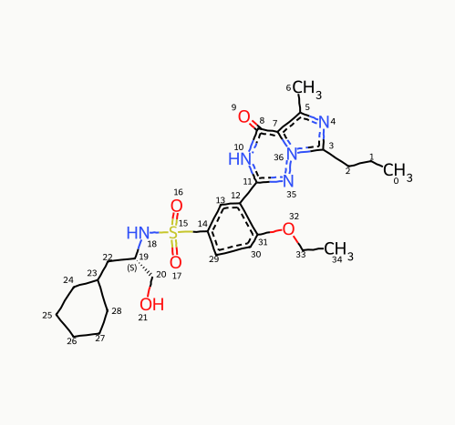 CCCc1nc(C)c2c(=O)[nH]c(-c3cc(S(=O)(=O)N[C@H](CO)CC4CCCCC4)ccc3OCC)nn12